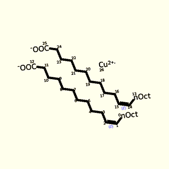 CCCCCCCC/C=C\CCCCCCCCCC(=O)[O-].CCCCCCCC/C=C\CCCCCCCCCC(=O)[O-].[Cu+2]